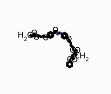 C=CC(=O)OCCCOc1ccc(C(=O)/C=C/c2ccc(OCCCCOC(=O)C(=C)CC(=O)OC3CCCCC3)cc2)cc1